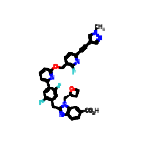 Cn1cc(C#Cc2ccc(COc3cccc(-c4cc(F)c(Cc5nc6ccc(C(=O)O)cc6n5C[C@@H]5CCO5)cc4F)n3)c(F)n2)cn1